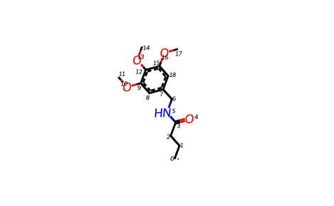 [CH2]CCC(=O)NCc1cc(OC)c(OC)c(OC)c1